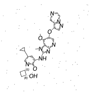 COc1c(Oc2cnn3ccncc23)cnc2nc(Nc3cc(C4CC4)cn([C@H]4CC[C@H]4O)c3=O)n(C)c12